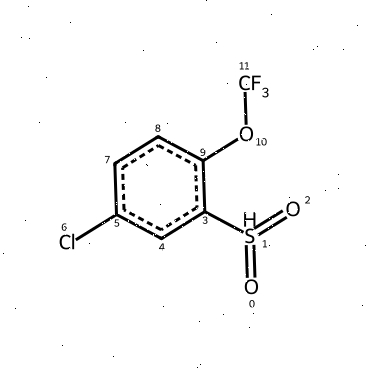 O=[SH](=O)c1cc(Cl)ccc1OC(F)(F)F